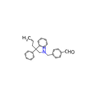 C=CCC(CNCc1ccc(C=O)cc1)(c1ccccc1)c1ccccc1